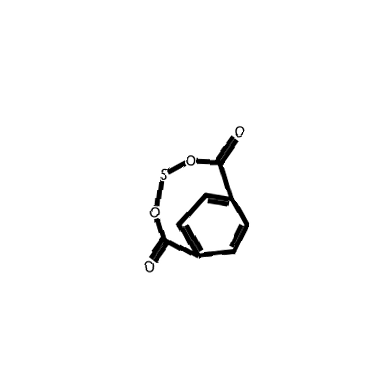 O=c1osoc(=O)c2ccc1cc2